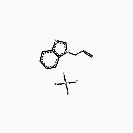 C=CC[n+]1csc2ccccc21.F[B-](F)(F)F